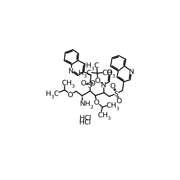 CC(C)OC[C@H](N)C(C(OC(C)C)C(CS(=O)(=O)Cc1cnc2ccccc2c1)N(C=O)OC(C)(C)C)S(=O)(=O)Cc1cnc2ccccc2c1.Cl.Cl